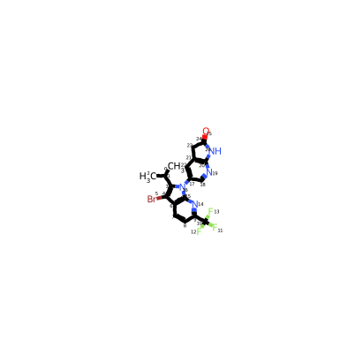 CC(C)c1c(Br)c2ccc(C(F)(F)F)nc2n1-c1cnc2c(c1)CC(=O)N2